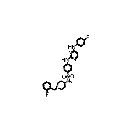 CN(C1CCN(Cc2ccccc2F)CC1)S(=O)(=O)c1ccc(Nc2nccc(Nc3ccc(F)cc3)n2)cc1